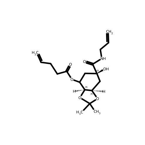 C=CCCC(=O)OC1C[C@](O)(C(=O)NCC=C)C[C@H]2OC(C)(C)O[C@@H]12